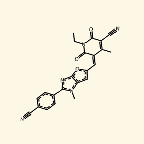 CCN1C(=O)C(C#N)=C(C)/C(=C/c2cc3c(nc(-c4ccc(C#N)cc4)n3C)o2)C1=O